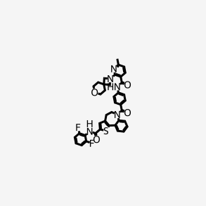 Cc1ccc(C(=O)Nc2ccc(C(=O)N3CCc4cc(C(=O)Nc5c(F)cccc5F)sc4-c4ccccc43)cc2)c(N2CC3(CCOCC3)C2)n1